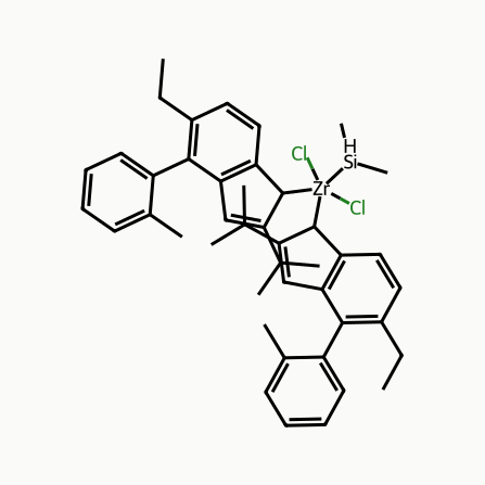 CCc1ccc2c(c1-c1ccccc1C)C=C(C(C)C)[CH]2[Zr]([Cl])([Cl])([CH]1C(C(C)C)=Cc2c1ccc(CC)c2-c1ccccc1C)[SiH](C)C